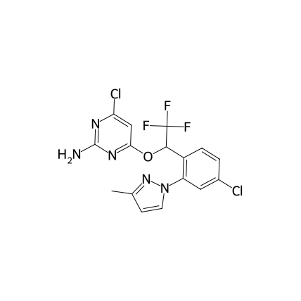 Cc1ccn(-c2cc(Cl)ccc2C(Oc2cc(Cl)nc(N)n2)C(F)(F)F)n1